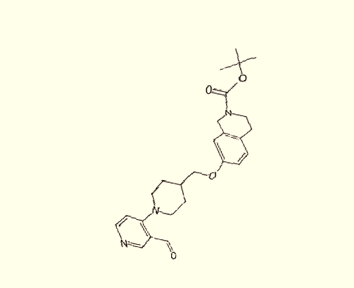 CC(C)(C)OC(=O)N1CCc2ccc(OCC3CCN(c4ccncc4C=O)CC3)cc2C1